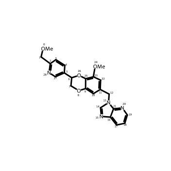 COCc1ccc(C2COc3cc(Cn4cnc5cccnc54)cc(OC)c3O2)cn1